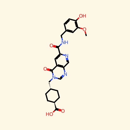 COc1cc(CNC(=O)c2cc3c(=O)n(C[C@H]4CC[C@H](C(=O)O)CC4)cnc3cn2)ccc1O